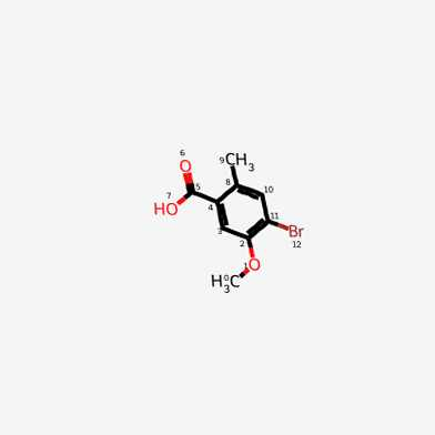 COc1cc(C(=O)O)c(C)cc1Br